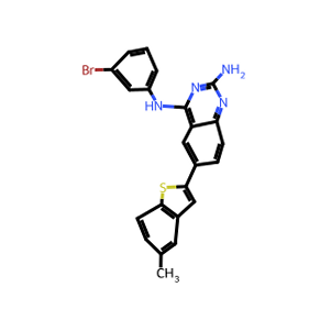 Cc1ccc2sc(-c3ccc4nc(N)nc(Nc5cccc(Br)c5)c4c3)cc2c1